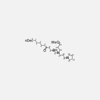 CCCCCCCCCCCCCCCC(=O)CCBCN(CCCOC)CCCN1CCCC1